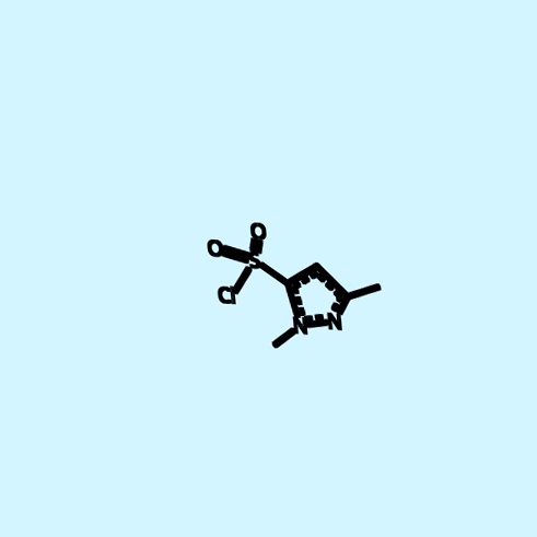 Cc1cc(S(=O)(=O)Cl)n(C)n1